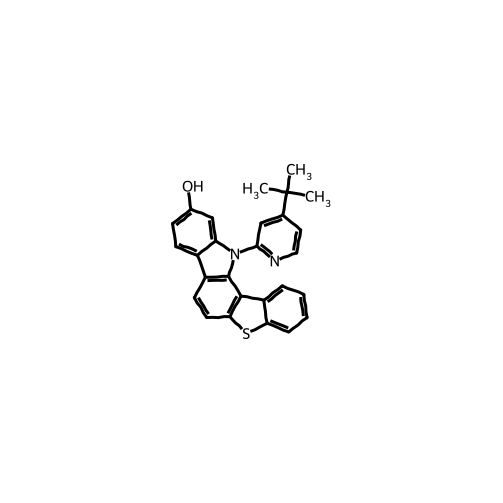 CC(C)(C)c1ccnc(-n2c3cc(O)ccc3c3ccc4sc5ccccc5c4c32)c1